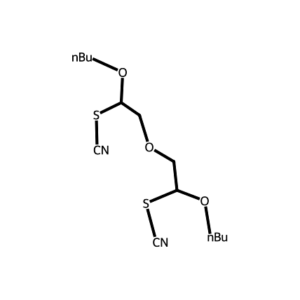 CCCCOC(COCC(OCCCC)SC#N)SC#N